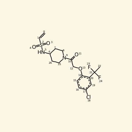 C=CS(=O)(=O)NC1CCN(C(=O)COc2ccc(Cl)cc2C(C)(F)F)CC1